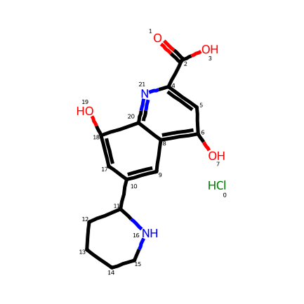 Cl.O=C(O)c1cc(O)c2cc(C3CCCCN3)cc(O)c2n1